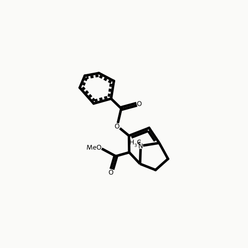 COC(=O)C1C(OC(=O)c2ccccc2)=C=C2CCC1N2C